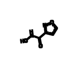 O=C(NO)c1ccon1